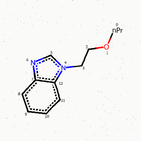 CCCOCCn1cnc2ccccc21